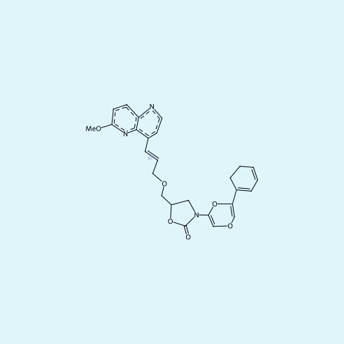 COc1ccc2nccc(/C=C/COCC3CN(C4=COC=C(C5=CC=CCC5)O4)C(=O)O3)c2n1